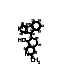 Cc1cc2c(cn1)C(O)C(C1c3ccccc3-c3cncn31)CC2